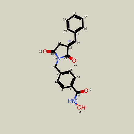 O=C(NO)c1ccc(CN2C(=O)C/C(=C\c3ccccc3)C2=O)cc1